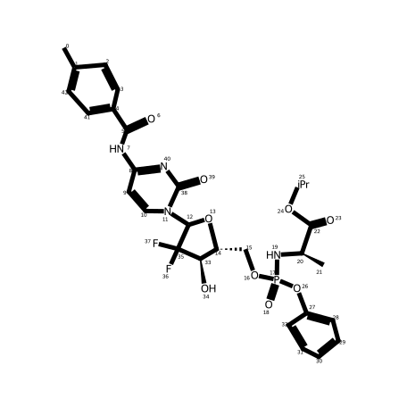 Cc1ccc(C(=O)Nc2ccn(C3O[C@H](COP(=O)(N[C@H](C)C(=O)OC(C)C)Oc4ccccc4)[C@@H](O)C3(F)F)c(=O)n2)cc1